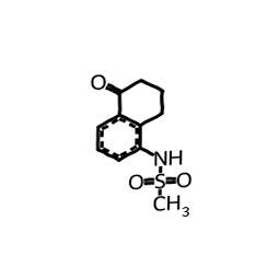 CS(=O)(=O)Nc1cccc2c1CCCC2=O